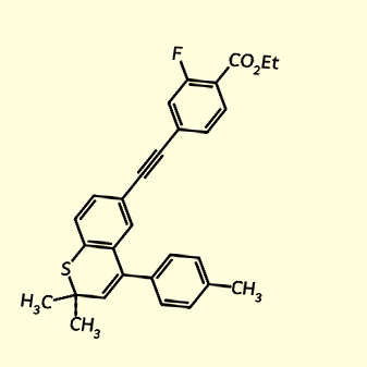 CCOC(=O)c1ccc(C#Cc2ccc3c(c2)C(c2ccc(C)cc2)=CC(C)(C)S3)cc1F